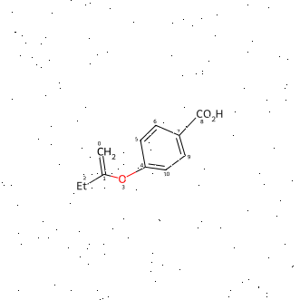 C=C(CC)Oc1ccc(C(=O)O)cc1